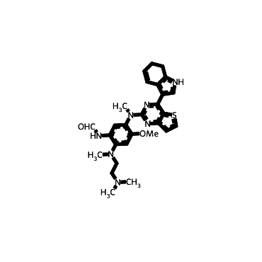 COc1cc(N(C)CCN(C)C)c(NC=O)cc1N(C)c1nc(-c2c[nH]c3c2C=CCC3)c2sccc2n1